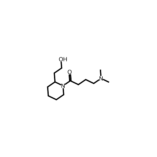 CN(C)CCCC(=O)N1CCCCC1CCO